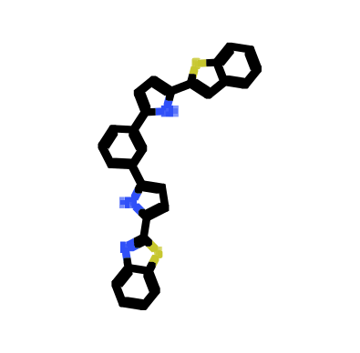 c1cc(-c2ccc(-c3cc4ccccc4s3)[nH]2)cc(-c2ccc(-c3nc4ccccc4s3)[nH]2)c1